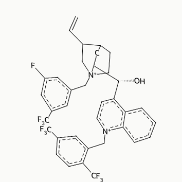 C=CC1C[N+]2(Cc3cc(F)cc(C(F)(F)F)c3)CCC1CC2[C@H](O)c1cc[n+](Cc2cc(C(F)(F)F)ccc2C(F)(F)F)c2ccccc12